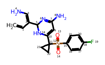 C=C/C(=C\N)C1N=C(N)C=C(C2(S(=O)(=O)c3ccc(F)cc3)CC2)N1